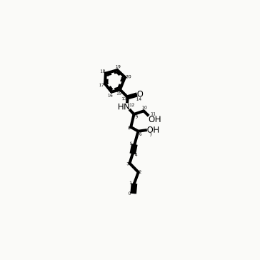 C#CCCC#CC(O)CC(CO)NC(=O)c1ccccc1